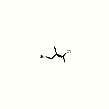 C/C(C#N)=C(/C)CC(C)(C)C